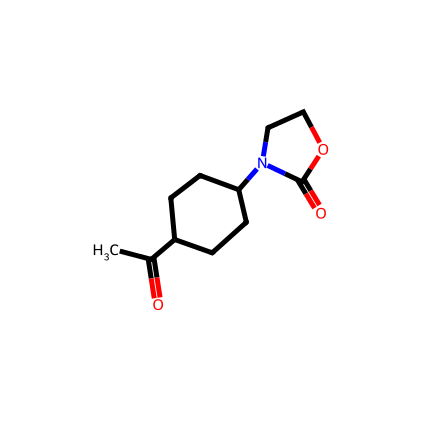 CC(=O)C1CCC(N2CCOC2=O)CC1